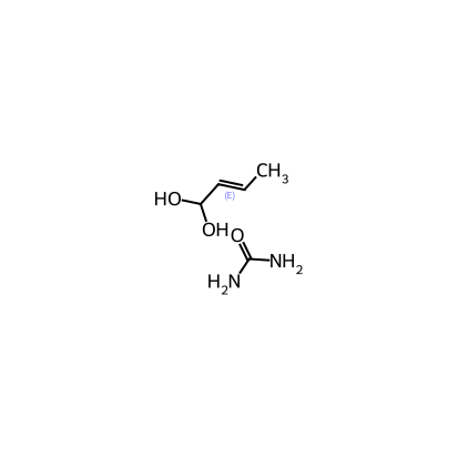 C/C=C/C(O)O.NC(N)=O